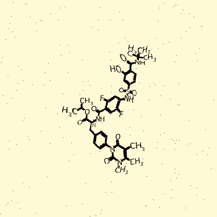 Cc1c(C)n(C)c(=O)n(-c2ccc(C[C@H](NC(=O)c3cc(F)c(NS(=O)(=O)c4ccc(C(=O)NC(C)(C)C)c(O)c4)cc3F)C(=O)OC(C)C)cc2)c1=O